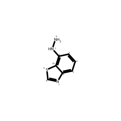 NNc1cccc2ncsc12